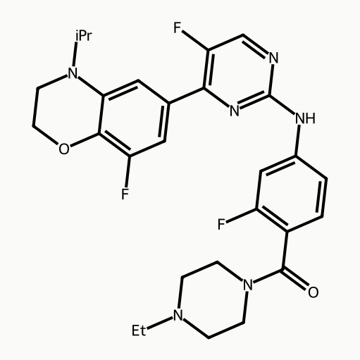 CCN1CCN(C(=O)c2ccc(Nc3ncc(F)c(-c4cc(F)c5c(c4)N(C(C)C)CCO5)n3)cc2F)CC1